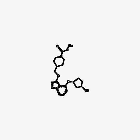 CC(C)(C)OC(=O)N1CCC(COc2noc3cccc(O[C@@H]4CC[C@@H](O)C4)c23)CC1